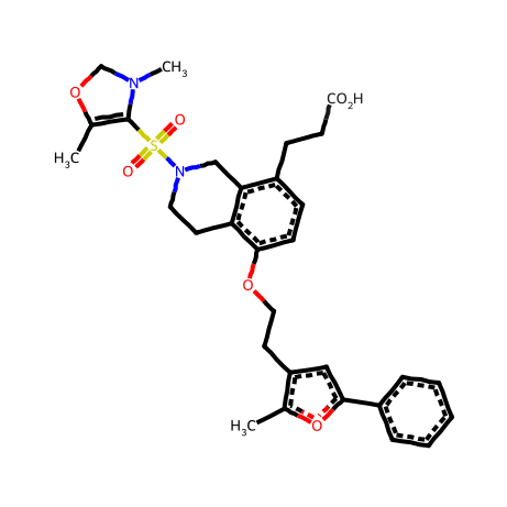 CC1=C(S(=O)(=O)N2CCc3c(OCCc4cc(-c5ccccc5)oc4C)ccc(CCC(=O)O)c3C2)N(C)CO1